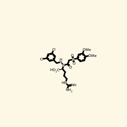 COc1ccc(S(=O)(=O)CC(=O)N(NCc2cc(Cl)cc(Cl)c2)[C@@H](CCCNC(=N)N)C(=O)O)cc1OC